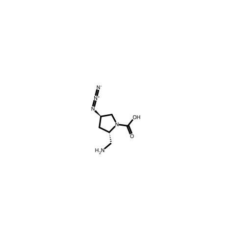 [N-]=[N+]=N[C@@H]1C[C@@H](CN)N(C(=O)O)C1